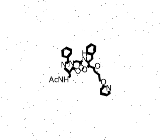 CC(=O)NCc1cnc(-c2ccccc2)n(CC(=O)NC(Cc2ccccc2)C(=O)C(=O)CCCOc2ccccn2)c1=O